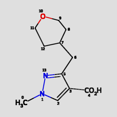 Cn1cc(C(=O)O)c(CC2CCOCC2)n1